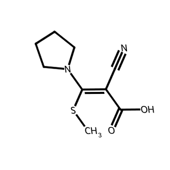 CS/C(=C(/C#N)C(=O)O)N1CCCC1